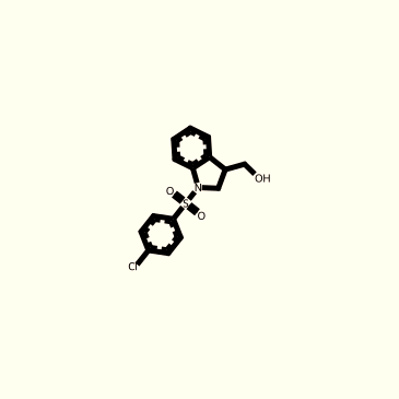 O=S(=O)(c1ccc(Cl)cc1)N1CC(CO)c2ccccc21